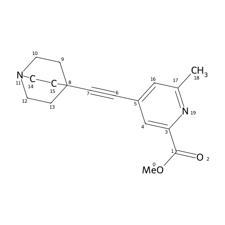 COC(=O)c1cc(C#CC23CCN(CC2)CC3)cc(C)n1